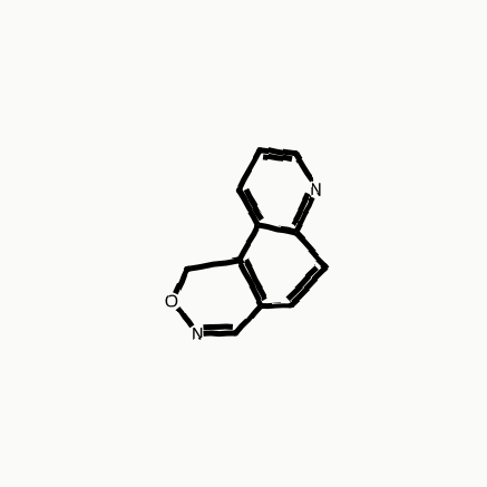 C1=NOCc2c1ccc1ncccc21